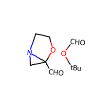 CC(C)(C)OC=O.O=CC12CN1CCO2